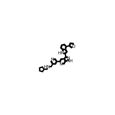 c1cc(-c2ccoc2)c2cc(-c3n[nH]c4cnc(-c5cncc(CNCC6CCCC6)c5)cc34)[nH]c2c1